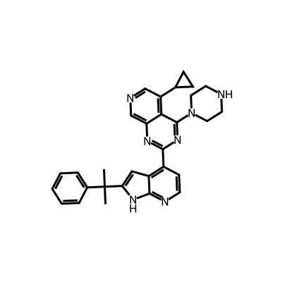 CC(C)(c1ccccc1)c1cc2c(-c3nc(N4CCNCC4)c4c(C5CC5)cncc4n3)ccnc2[nH]1